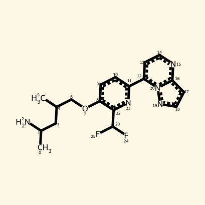 CC(N)CC(C)COc1ccc(-c2ccnc3ccnn23)nc1C(F)F